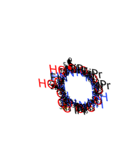 C/C=C/C[C@@H](C)[C@@H](O)[C@H]1C(=O)N[C@@H](CC)C(=O)N(C)[C@H](CCCO)C(=O)N(C)[C@@H]([C@H](C)CS(C)(=O)=O)C(=O)N[C@@H](C(C)C)C(=O)N(C)[C@@H](CC(C)C)C(=O)N[C@@H](C)C(=O)N[C@H](C)C(=O)N(C)[C@@H](CC(C)C)C(=O)N(C)[C@@H](CC(C)C)C(=O)N(C)[C@@H](C(C)C)C(=O)N1C